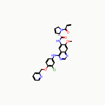 C=CC(=O)N1CC=C[C@H]1C(=O)Nc1cc2c(Nc3ccc(OCc4ccccn4)c(Cl)c3)ncnc2cc1OC